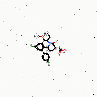 CCC(COC)N1C(=O)[C@H](CC(=O)O)C[C@H](c2cccc(Cl)c2)[C@H]1c1ccc(Cl)cc1